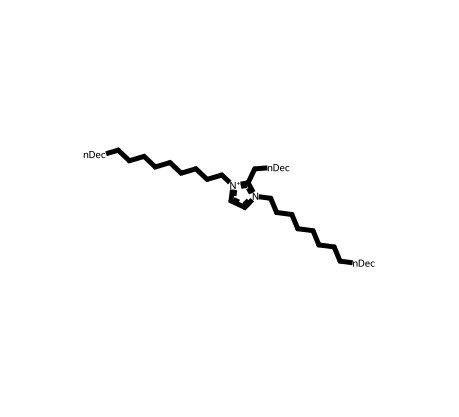 CCCCCCCCCCCCCCCCCCC[n+]1ccn(CCCCCCCCCCCCCCCCCC)c1CCCCCCCCCCC